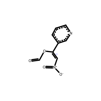 O=CO/C(=C\[N+](=O)[O-])c1cccnc1